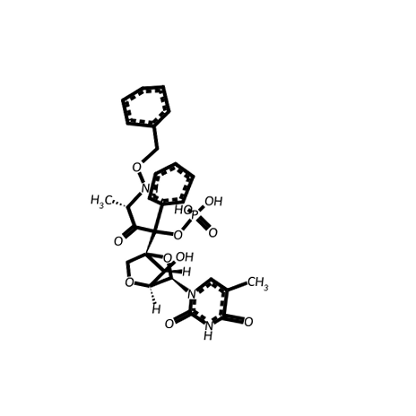 Cc1cn([C@@H]2O[C@@]3(C(OP(=O)(O)O)(C(=O)[C@H](C)NOCc4ccccc4)c4ccccc4)CO[C@H]2[C@H]3O)c(=O)[nH]c1=O